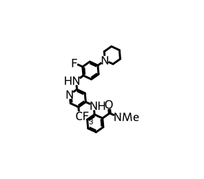 CNC(=O)c1ccccc1Nc1cc(Nc2ccc(N3CCCCC3)cc2F)ncc1C(F)(F)F